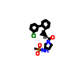 CS(=O)(=O)N[C@@H]1CCN(C(=O)[C@@H]2C[C@H]2c2ccccc2-c2cccc(Cl)c2)C1